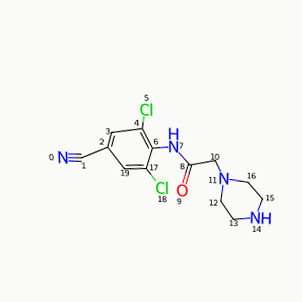 N#Cc1cc(Cl)c(NC(=O)CN2CCNCC2)c(Cl)c1